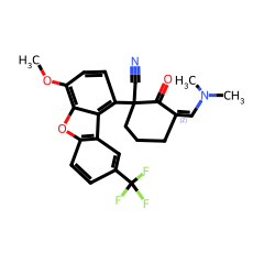 COc1ccc(C2(C#N)CCC/C(=C/N(C)C)C2=O)c2c1oc1ccc(C(F)(F)F)cc12